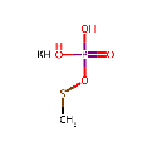 CSOP(=O)(O)O.[KH]